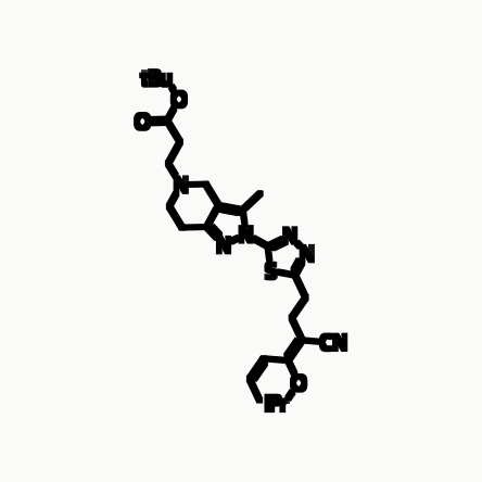 C/C=C\C(OC(C)C)=C(\C#N)CCc1nnc(-n2nc3c(c2C)CN(CCC(=O)OC(C)(C)C)CC3)s1